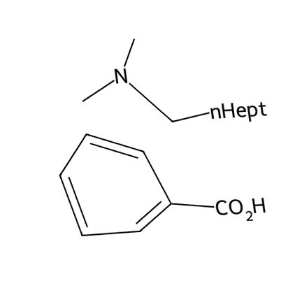 CCCCCCCCN(C)C.O=C(O)c1ccccc1